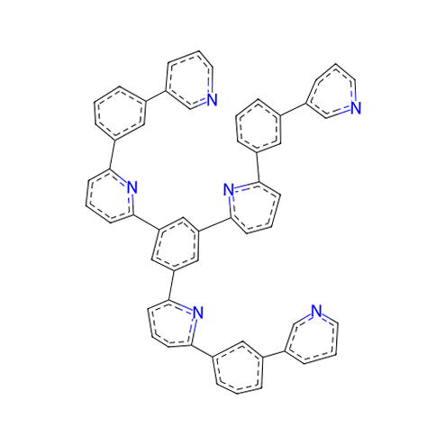 c1cncc(-c2cccc(-c3cccc(-c4cc(-c5cccc(-c6cccc(-c7cccnc7)c6)n5)cc(-c5cccc(-c6cccc(-c7cccnc7)c6)n5)c4)n3)c2)c1